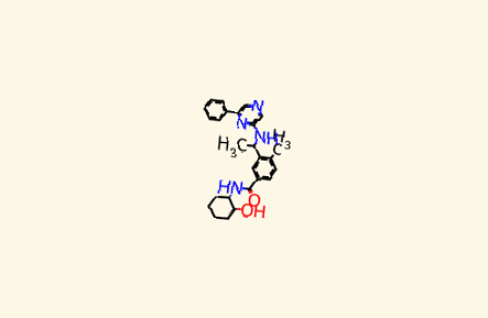 Cc1ccc(C(=O)N[C@H]2CCCC[C@@H]2O)cc1C(C)Nc1cncc(-c2ccccc2)n1